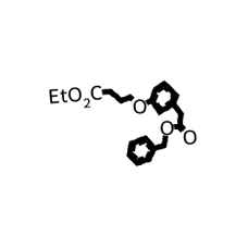 CCOC(=O)CCCOc1cccc(CC(=O)OCc2ccccc2)c1